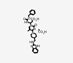 CC(=O)O.Cc1cn(C(CC(=O)O)NC(=O)OCc2ccccc2)c(=O)nc1N1CCC(CNc2nc3ccccc3[nH]2)CC1